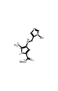 CCn1cncc1CNc1cc(C(=O)OC)sc1N